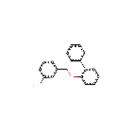 COc1cccc(COc2[c]cccc2-c2ccccc2)c1